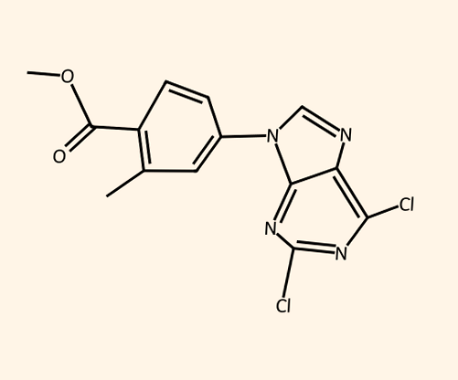 COC(=O)c1ccc(-n2cnc3c(Cl)nc(Cl)nc32)cc1C